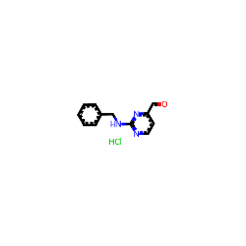 Cl.O=Cc1ccnc(NCc2ccccc2)n1